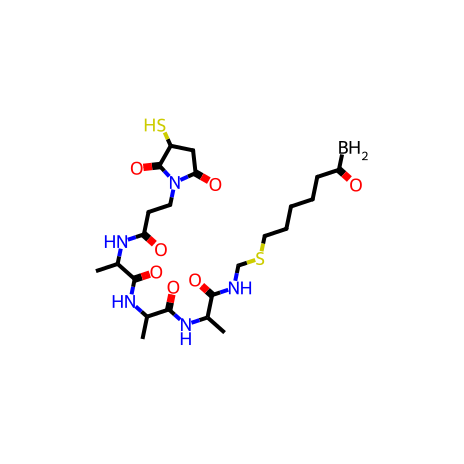 BC(=O)CCCCCSCNC(=O)C(C)NC(=O)C(C)NC(=O)C(C)NC(=O)CCN1C(=O)CC(S)C1=O